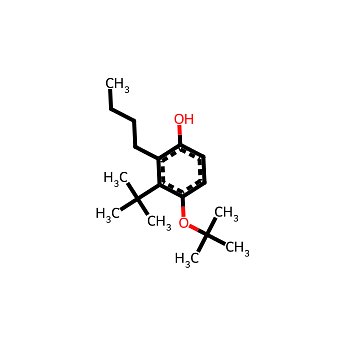 CCCCc1c(O)ccc(OC(C)(C)C)c1C(C)(C)C